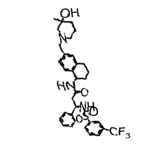 CC1(O)CCCN(Cc2ccc3c(c2)CCCC3NC(=O)CC(NS(=O)(=O)c2cccc(C(F)(F)F)c2)c2ccccc2)C1